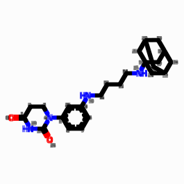 O=C1CCN(c2cccc(NCCCCNC34CC5CC(CC(C5)C3)C4)c2)C(=O)N1